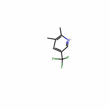 CC1=C(C)[N+]=[C]C(C(F)(F)F)=[C]1